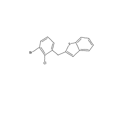 Clc1c(Br)cccc1Cc1cc2ccccc2s1